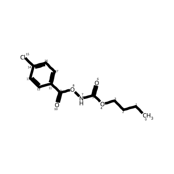 CCCCOC(=O)NOC(=O)c1ccc(Cl)cc1